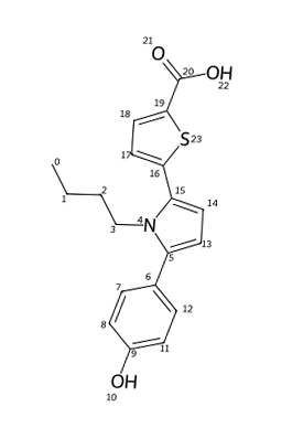 CCCCn1c(-c2ccc(O)cc2)ccc1-c1ccc(C(=O)O)s1